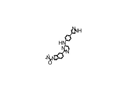 CN(C)C(=O)n1cc2ccc(-c3nccc(Nc4ccc(-c5cn[nH]c5)cc4)n3)cc2c1